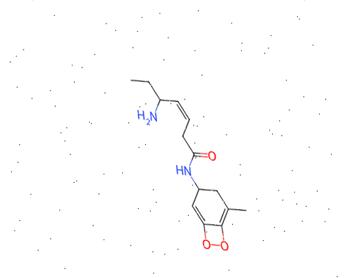 CCC(N)/C=C\CC(=O)NC1C=c2ooc2=C(C)C1